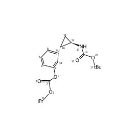 CC(C)OC(=O)Oc1cccc([C@@H]2C[C@H]2NC(=O)OC(C)(C)C)c1